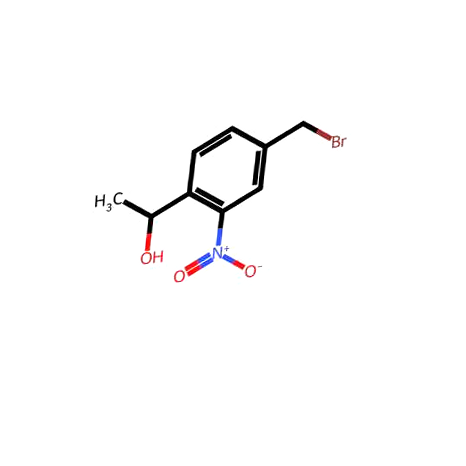 CC(O)c1ccc(CBr)cc1[N+](=O)[O-]